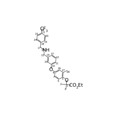 CCOC(=O)C(C)(C)Oc1ccc(Oc2cccc(CNCc3ccc(C(F)(F)F)cc3)c2)cc1C